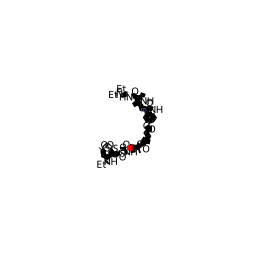 CCN[C@H]1C[C@H](C)S(=O)(=O)c2sc(S(=O)(=O)NC(=O)C(C)(C)[C@H](C)OC(=O)C(C)(C)CCC(=O)Oc3ccc4c(c3)/C(=C/c3[nH]c(C)c(C(=O)NCCN(CC)CC)c3C)C(=O)N4)cc21